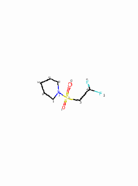 O=S(=O)(CC(F)F)N1CCCCC1